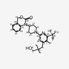 Cc1c(CC(C)(C)CO)nc(N2CCC(N3C(=O)OCc4ccccc43)CC2)nc1C(F)(F)F